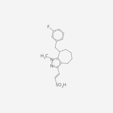 Cn1nc(C=CS(=O)(=O)O)c2c1C(Cc1cccc(F)c1)CCCC2